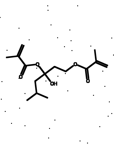 C=C(C)C(=O)OCCC(O)(CC(C)C)OC(=O)C(=C)C